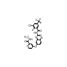 CNC(=O)c1cc(Oc2ccc3nnc(NC(=O)c4cc(C(F)(F)F)cc(Cl)c4F)nc3c2)ccn1